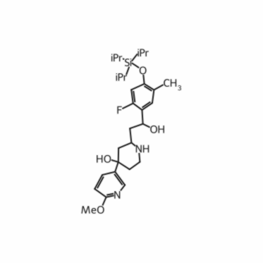 COc1ccc(C2(O)CCNC(CC(O)c3cc(C)c(O[Si](C(C)C)(C(C)C)C(C)C)cc3F)C2)cn1